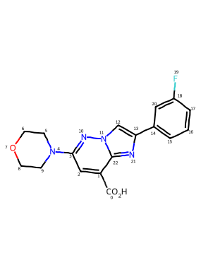 O=C(O)c1cc(N2CCOCC2)nn2cc(-c3cccc(F)c3)nc12